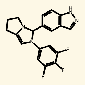 Fc1cc(N2C=C3CCCN3C2c2ccc3[nH]ncc3c2)cc(F)c1F